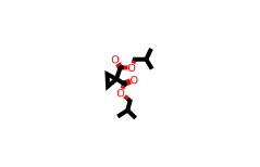 CC(C)COC(=O)C1(C(=O)OCC(C)C)CC1